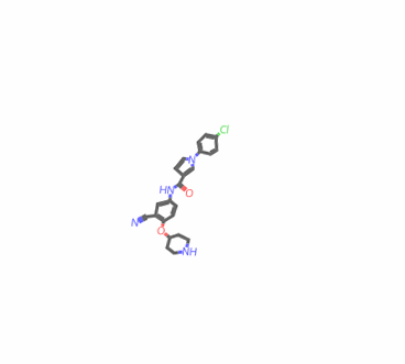 N#Cc1cc(NC(=O)c2ccn(-c3ccc(Cl)cc3)c2)ccc1OC1CCNCC1